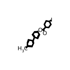 Cc1ccc(-c2ccc(OC(=O)C3CCC(I)CC3)cc2)cc1